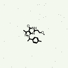 COCCc1nc2c(c(C)nn2C(C)c2ccc(C)cc2)c(=O)[nH]1